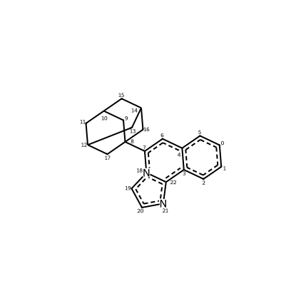 c1ccc2c(c1)cc(C13CC4CC(CC(C4)C1)C3)n1ccnc21